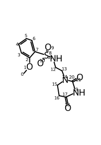 COc1ccccc1S(=O)(=O)NCCN1CCC(=O)NC1=O